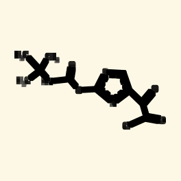 CC(C)(C)NC(=O)Oc1nc(C(=O)C(=O)Cl)cs1